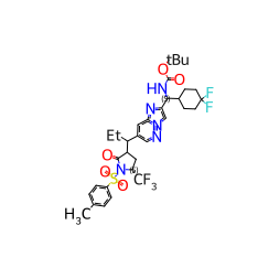 CCC(c1cnn2cc([C@@H](NC(=O)OC(C)(C)C)C3CCC(F)(F)CC3)nc2c1)C1C[C@@H](C(F)(F)F)N(S(=O)(=O)c2ccc(C)cc2)C1=O